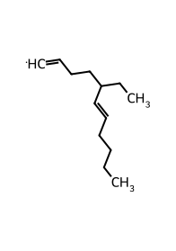 [CH]=CCCC(C=CCCCC)CC